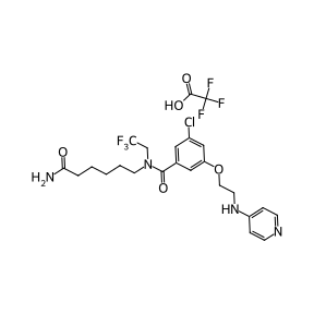 NC(=O)CCCCCN(CC(F)(F)F)C(=O)c1cc(Cl)cc(OCCNc2ccncc2)c1.O=C(O)C(F)(F)F